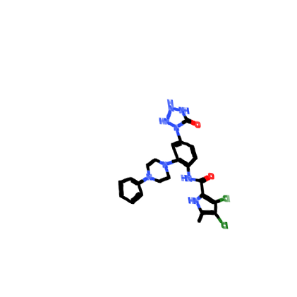 Cc1[nH]c(C(=O)Nc2ccc(N3NNNC3=O)cc2N2CCN(c3ccccc3)CC2)c(Cl)c1Cl